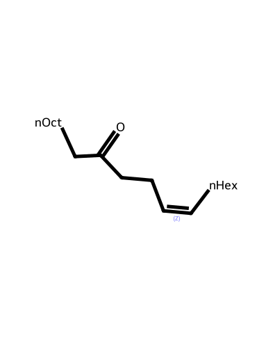 CCCCCC/C=C\CCC(=O)CCCCCCCCC